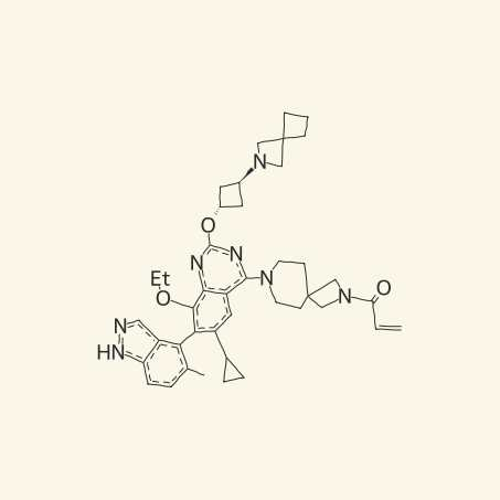 C=CC(=O)N1CC2(CCN(c3nc(O[C@H]4C[C@H](N5CC6(CCC6)C5)C4)nc4c(OCC)c(-c5c(C)ccc6[nH]ncc56)c(C5CC5)cc34)CC2)C1